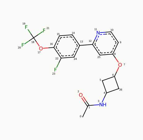 CC(=O)NC1CC(Oc2ccnc(-c3ccc(OC(F)(F)F)c(F)c3)c2)C1